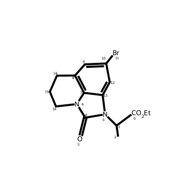 CCOC(=O)C(C)n1c(=O)n2c3c(cc(Br)cc31)CCC2